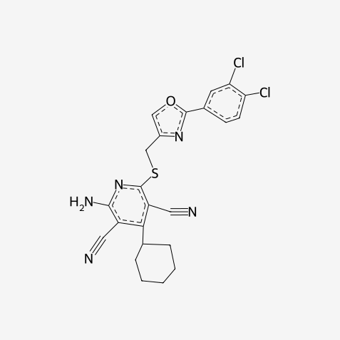 N#Cc1c(N)nc(SCc2coc(-c3ccc(Cl)c(Cl)c3)n2)c(C#N)c1C1CCCCC1